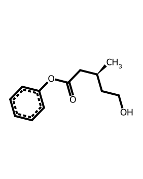 C[C@@H](CCO)CC(=O)Oc1ccccc1